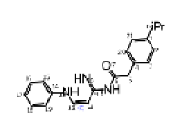 CC(C)c1ccc(CC(=O)NC(=N)/C=C\Nc2ccccc2)cc1